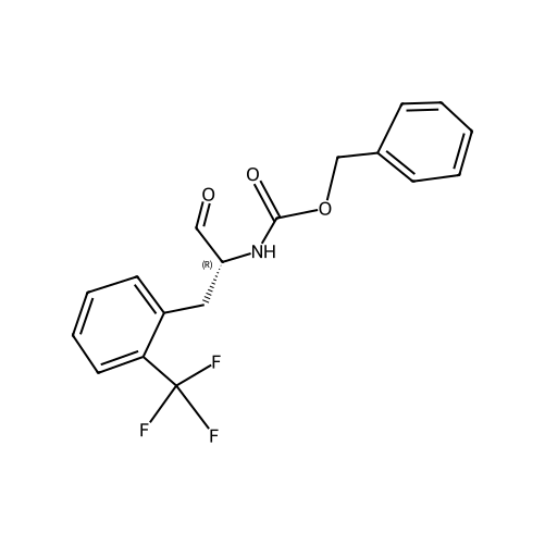 O=C[C@@H](Cc1ccccc1C(F)(F)F)NC(=O)OCc1ccccc1